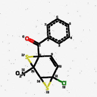 O=C(c1ccccc1)C12C=CC3(Cl)SC3C1([N+](=O)[O-])S2